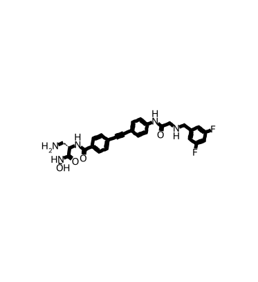 NC[C@H](NC(=O)c1ccc(C#Cc2ccc(NC(=O)CNCc3cc(F)cc(F)c3)cc2)cc1)C(=O)NO